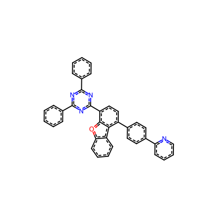 c1ccc(-c2nc(-c3ccccc3)nc(-c3ccc(-c4ccc(-c5ccccn5)cc4)c4c3oc3ccccc34)n2)cc1